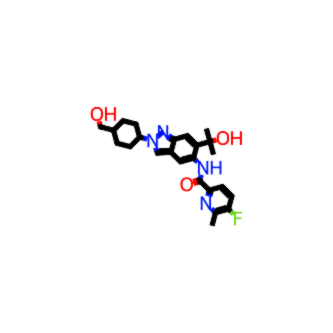 Cc1nc(C(=O)Nc2cc3cn(C4CCC(CO)CC4)nc3cc2C(C)(C)O)ccc1F